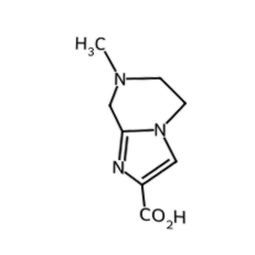 CN1CCn2cc(C(=O)O)nc2C1